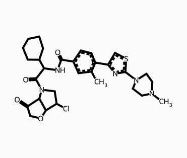 Cc1cc(C(=O)NC(C(=O)N2CC(Cl)C3OCC(=O)C32)C2CCCCC2)ccc1-c1csc(N2CCN(C)CC2)n1